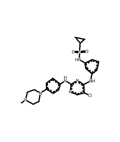 CN1CCN(c2ccc(Nc3ncc(Cl)c(Nc4cccc(NS(=O)(=O)C5CC5)c4)n3)cc2)CC1